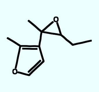 CCC1OC1(C)c1ccoc1C